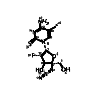 [N-]=[N+]=N[C@]1(CO)O[C@@H](n2cc(F)c(N)nc2=S)[C@@H](F)C1O